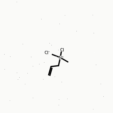 C=CC[N+](C)(C)Cl.[Cl-]